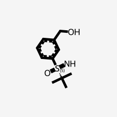 CC(C)(C)[S@](=N)(=O)c1cccc(CO)c1